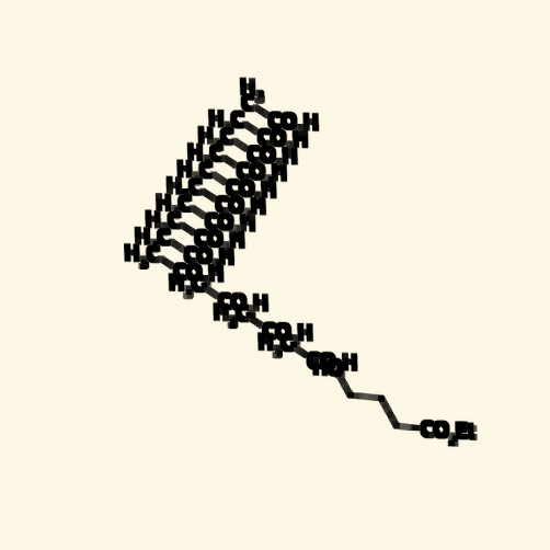 CC(=O)O.CC(=O)O.CC(=O)O.CC(=O)O.CC(=O)O.CC(=O)O.CC(=O)O.CC(=O)O.CC(=O)O.CC(=O)O.CC(=O)O.CC(=O)O.CC(=O)O.CCOC(=O)CCCO